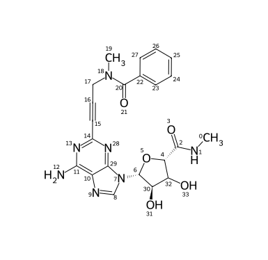 CNC(=O)[C@H]1O[C@@H](n2cnc3c(N)nc(C#CCN(C)C(=O)c4ccccc4)nc32)[C@H](O)C1O